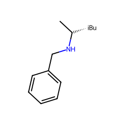 CC[C@@H](C)C(C)NCc1ccccc1